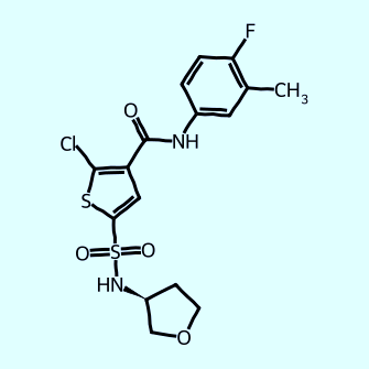 Cc1cc(NC(=O)c2cc(S(=O)(=O)N[C@H]3CCOC3)sc2Cl)ccc1F